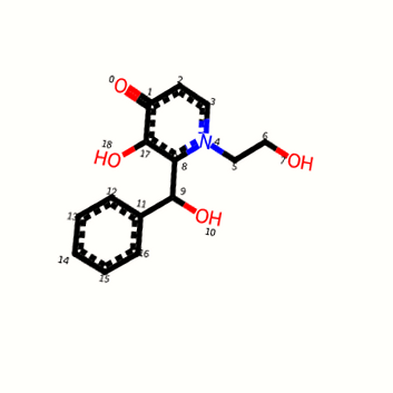 O=c1ccn(CCO)c(C(O)c2ccccc2)c1O